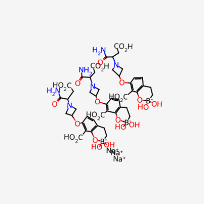 NC(=O)C(CC(=O)O)N1CC(Oc2ccc3c(c2C(=O)O)O[B-](O)(O)CC3)C1.NC(=O)C(CC(=O)O)N1CC(Oc2ccc3c(c2C(=O)O)O[B-](O)(O)CC3)C1.NC(=O)C(CC(=O)O)N1CC(Oc2ccc3c(c2C(=O)O)O[B-](O)(O)CC3)C1.[Na+].[Na+].[Na+]